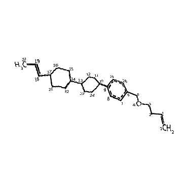 C=CCCOCc1ccc(C2CCC(C3CCC(C=CC)CC3)CC2)cc1